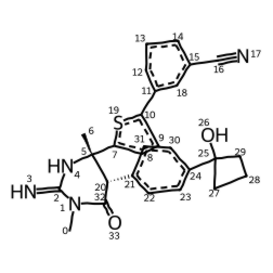 CN1C(=N)N[C@](C)(c2ccc(-c3cccc(C#N)c3)s2)[C@H](c2ccc(C3(O)CCC3)cc2)C1=O